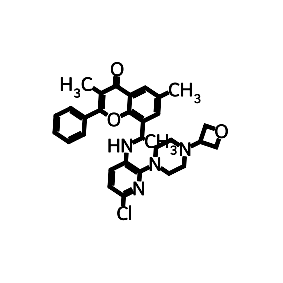 Cc1cc([C@@H](C)Nc2ccc(Cl)nc2N2CCN(C3COC3)CC2)c2oc(-c3ccccc3)c(C)c(=O)c2c1